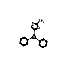 Nc1ncc([C@H]2[C@H](c3ccccc3)[C@@H]2c2ccccc2)[nH]1